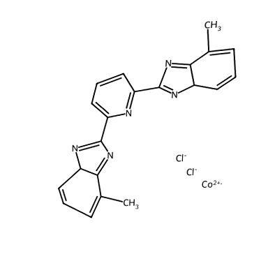 CC1=CC=CC2N=C(c3cccc(C4=NC5C=CC=C(C)C5=N4)n3)N=C12.[Cl-].[Cl-].[Co+2]